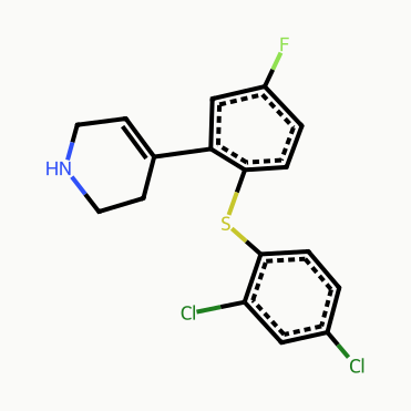 Fc1ccc(Sc2ccc(Cl)cc2Cl)c(C2=CCNCC2)c1